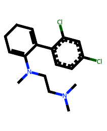 CN(C)CCN(C)C1=CC[CH]C=C1c1ccc(Cl)cc1Cl